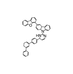 C1=CC(c2ccc(C3=CCCC(c4ccccc4)=C3)cc2)NC(N2c3ccccc3C3C=C(c4cccc5c4oc4ccccc45)C=CC32)=N1